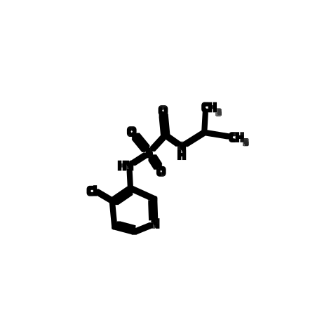 CC(C)NC(=O)S(=O)(=O)Nc1cnccc1Cl